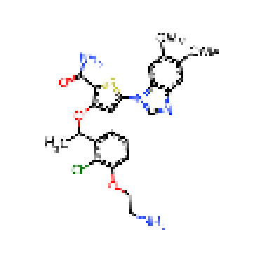 COc1cc2ncn(-c3cc(OC(C)c4cccc(OCCN)c4Cl)c(C(N)=O)s3)c2cc1OC